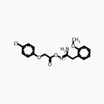 COc1ccccc1C/C(N)=N/OC(=O)COc1ccc(Cl)cc1